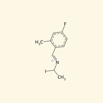 Cc1cc(F)ccc1/C=N/C(C)I